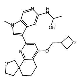 CC(O)Nc1cc2c(-c3cc(OCC4COC4)c4c(n3)C3(CCC4)CCOC3)cn(C)c2cn1